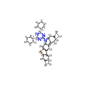 c1ccc(-c2nc(-c3ccccc3)nc(-n3c4cc5c(cc4c4cc6c(cc43)sc3cc4c(cc36)CC4)CC5)n2)cc1